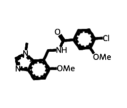 COc1cc(C(=O)NCc2c(OC)ccc3ncn(C)c23)ccc1Cl